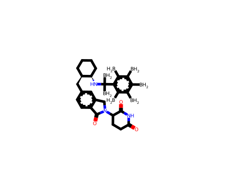 Bc1c(B)c(B)c(C(B)(B)N[C@H]2CCCC[C@@H]2Cc2ccc3c(c2)CN(C2CCC(=O)NC2=O)C3=O)c(B)c1B